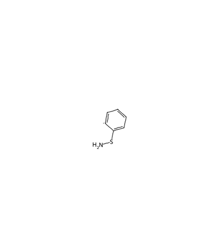 NSc1[c]cccc1